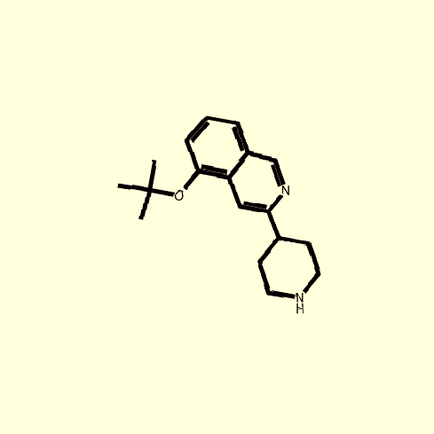 CC(C)(C)Oc1cccc2cnc(C3CCNCC3)cc12